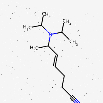 CC(C)N(C(C)C)C(C)C=CCCC#N